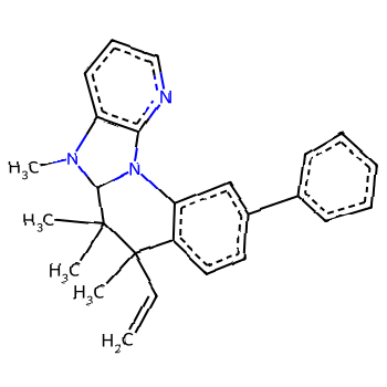 C=CC1(C)c2ccc(-c3ccccc3)cc2N2c3ncccc3N(C)C2C1(C)C